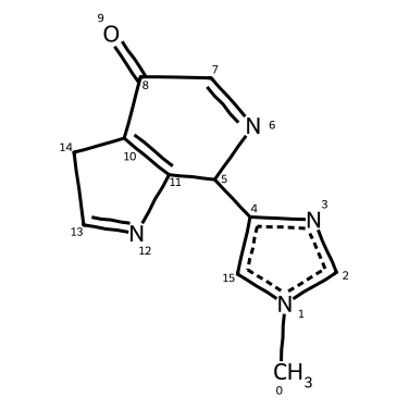 Cn1cnc(C2N=CC(=O)C3=C2N=CC3)c1